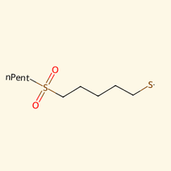 CCCCCS(=O)(=O)CCCCC[S]